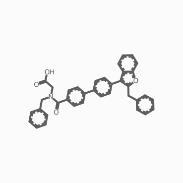 O=C(O)CN(Cc1ccccc1)C(=O)c1ccc(-c2ccc(-c3c(Cc4ccccc4)oc4ccccc34)cc2)cc1